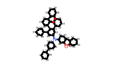 c1ccc(-c2ccc(N(c3cc(-c4ccccc4)c(-c4cccc5c4ccc4ccccc45)c(-c4ccccc4)c3)c3ccc4c(c3)oc3ccccc34)cc2)cc1